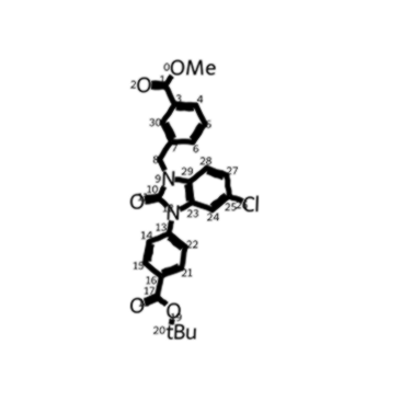 COC(=O)c1cccc(Cn2c(=O)n(-c3ccc(C(=O)OC(C)(C)C)cc3)c3cc(Cl)ccc32)c1